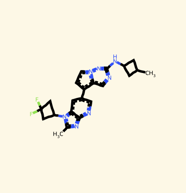 Cc1nc2ncc(-c3ccn4nc(NC5CC(C)C5)ncc34)cc2n1C1CC(F)(F)C1